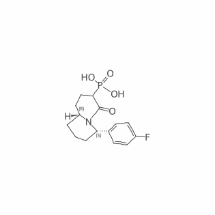 O=C1C(P(=O)(O)O)CC[C@H]2CCC[C@@H](c3ccc(F)cc3)N12